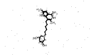 CC1=C(CCCCCCN2C[C@H](O)C[C@H](O)C2)c2[nH]c(C)cc2C(N)N1